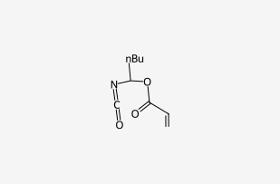 C=CC(=O)OC(CCCC)N=C=O